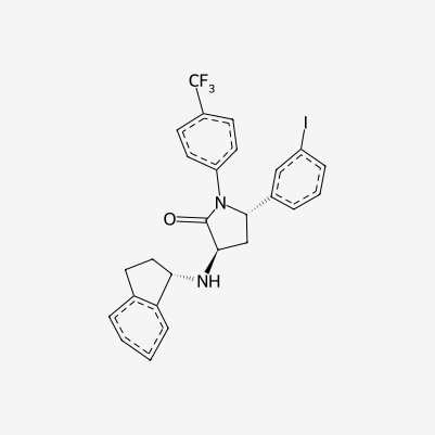 O=C1[C@H](N[C@H]2CCc3ccccc32)C[C@@H](c2cccc(I)c2)N1c1ccc(C(F)(F)F)cc1